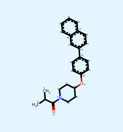 CC(C)C(=O)N1CCC(Oc2ccc(-c3ccc4ccccc4c3)cc2)CC1